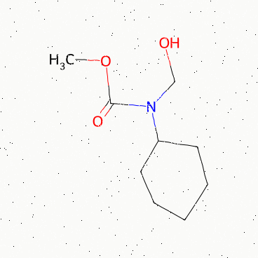 COC(=O)N(CO)C1CCCCC1